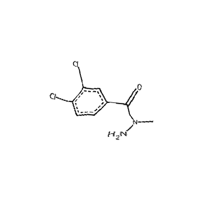 CN(N)C(=O)c1ccc(Cl)c(Cl)c1